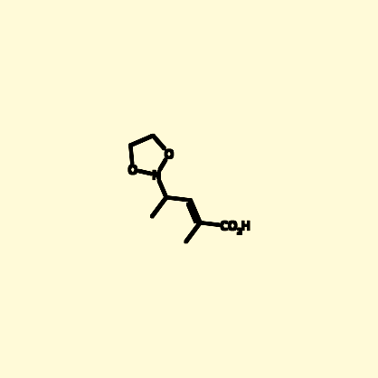 CC(=CC(C)N1OCCO1)C(=O)O